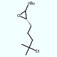 CCCCC1O[C@H]1CCCC(C)(C)CC